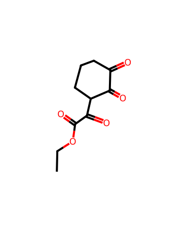 CCOC(=O)C(=O)C1CCCC(=O)C1=O